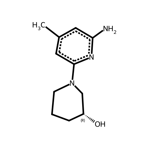 Cc1cc(N)nc(N2CCC[C@@H](O)C2)c1